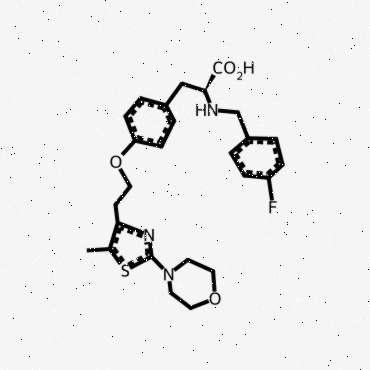 Cc1sc(N2CCOCC2)nc1CCOc1ccc(C[C@H](NCc2ccc(F)cc2)C(=O)O)cc1